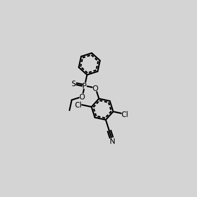 CCOP(=S)(Oc1cc(Cl)c(C#N)cc1Cl)c1ccccc1